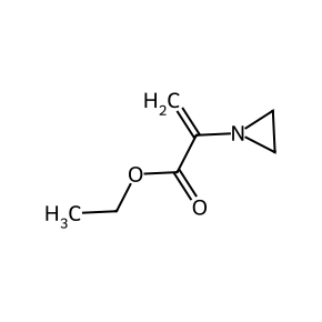 C=C(C(=O)OCC)N1CC1